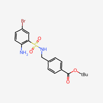 CC(C)(C)OC(=O)c1ccc(CNS(=O)(=O)c2cc(Br)ccc2N)cc1